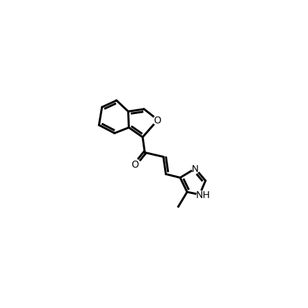 Cc1[nH]cnc1C=CC(=O)c1occ2ccccc12